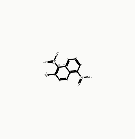 Nc1ccc2c([N+](=O)[O-])cccc2c1[N+](=O)[O-]